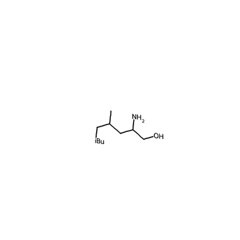 CCC(C)CC(C)CC(N)CO